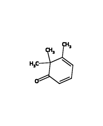 CC1=CC=CC(=O)C1(C)C